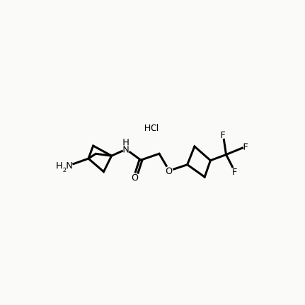 Cl.NC12CC(NC(=O)COC3CC(C(F)(F)F)C3)(C1)C2